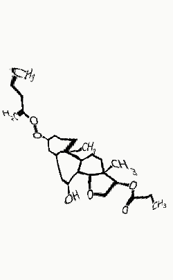 C=C(CCC)OO[C@H]1CC[C@@]2(C)C(C1)C[C@H](O)C1C2CC[C@@]2(C)C1OC[C@@H]2OC(=O)CC